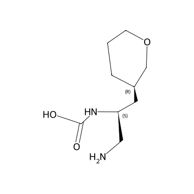 NC[C@H](C[C@H]1CCCOC1)NC(=O)O